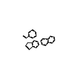 C1=Cc2ccccc2C1.C=Cc1ccccc1.c1ccc2ccccc2c1